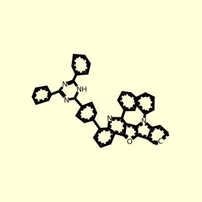 c1ccc(C2=NC(c3ccc(-c4cccc5c4nc(-c4ccccc4)c4c5oc5c6ccccc6n(-c6ccccc6)c54)cc3)NC(c3ccccc3)=N2)cc1